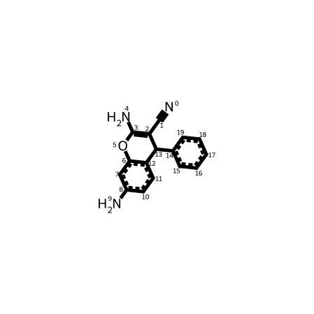 N#CC1=C(N)Oc2cc(N)ccc2C1c1ccccc1